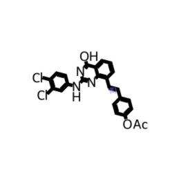 CC(=O)Oc1ccc(/C=C/c2cccc3c(O)nc(Nc4ccc(Cl)c(Cl)c4)nc23)cc1